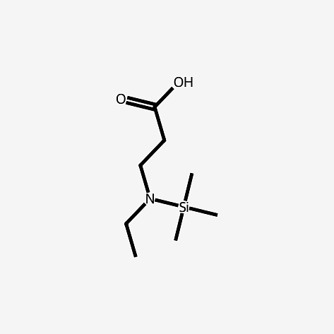 CCN(CCC(=O)O)[Si](C)(C)C